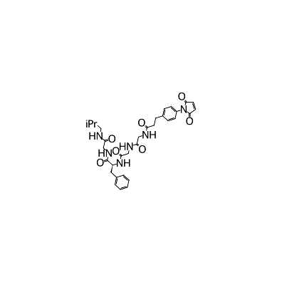 CC(C)CNC(=O)CNC(=O)[C@H](Cc1ccccc1)NC(=O)CNC(=O)CNC(=O)CCc1ccc(N2C(=O)C=CC2=O)cc1